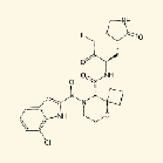 O=C1NCC[C@H]1C[C@@H](NC(=O)[C@H]1N(C(=O)c2cc3cccc(Cl)c3[nH]2)CCOC12CCC2)C(=O)CF